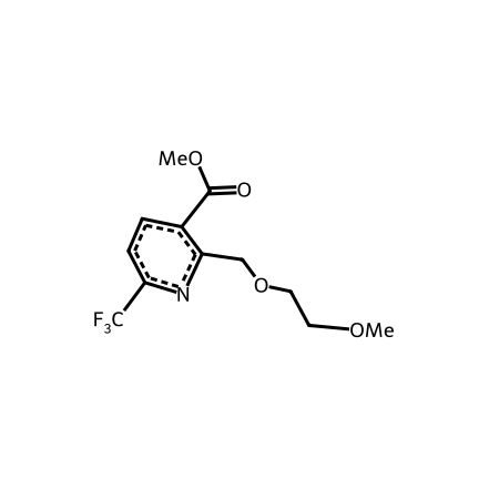 COCCOCc1nc(C(F)(F)F)ccc1C(=O)OC